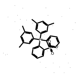 Cc1cc(C)cc([P+](c2ccccc2)(c2cc(C)cc(C)c2)c2ccccc2S(=O)(=O)[O-])c1